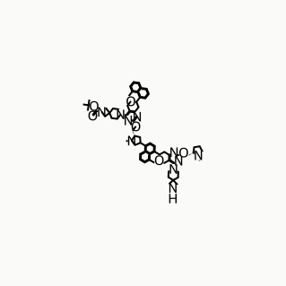 Cc1cccc2cccc(C3Cc4nc(OC[C@@H]5CC(c6ccc(C7Cc8nc(OC[C@@H]9CCCN9C)nc(N9CCC%10(CC9)CNC%10)c8CO7)c7c(C)cccc67)CN5C)nc(N5CCC6(CC5)CN(C(=O)OC(C)(C)C)C6)c4CO3)c12